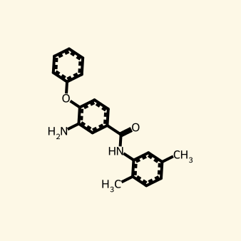 Cc1ccc(C)c(NC(=O)c2ccc(Oc3ccccc3)c(N)c2)c1